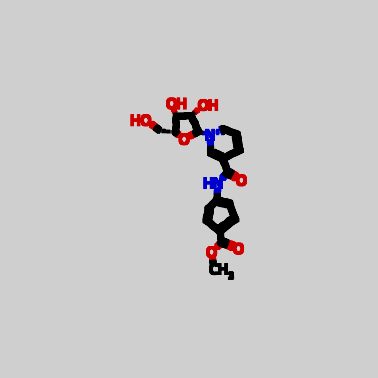 COC(=O)c1ccc(NC(=O)c2ccc[n+]([C@@H]3O[C@H](CO)[C@@H](O)[C@H]3O)c2)cc1